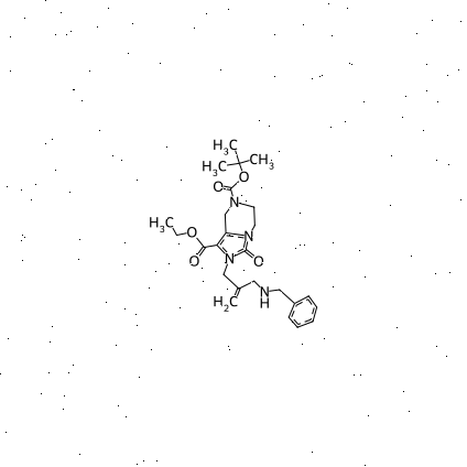 C=C(CNCc1ccccc1)Cn1c(C(=O)OCC)c2n(c1=O)CCN(C(=O)OC(C)(C)C)C2